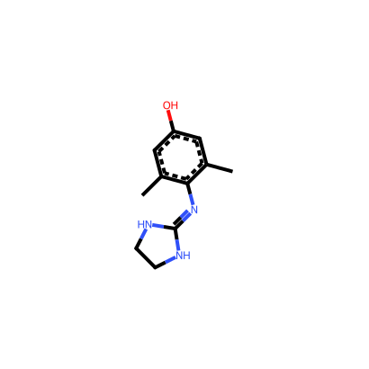 Cc1cc(O)cc(C)c1N=C1NCCN1